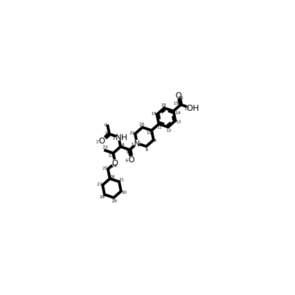 CC(=O)NC(C(=O)N1CCC(c2ccc(C(=O)O)cc2)CC1)C(C)OCC1CCCCC1